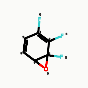 FC1=C(F)C2(F)OC2C=C1